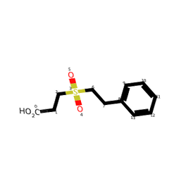 O=C(O)CCS(=O)(=O)CCc1ccccc1